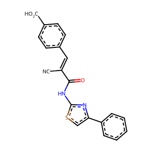 N#C/C(=C\c1ccc(C(=O)O)cc1)C(=O)Nc1nc(-c2ccccc2)cs1